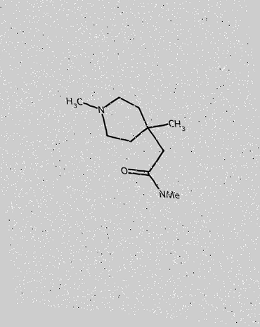 CNC(=O)CC1(C)CCN(C)CC1